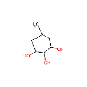 CC1CC(O)C(O)C(O)C1